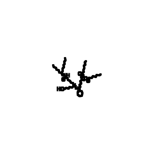 CCCCCCCCC(CCCCCC)CNC(=O)CCCCCN(CCCCCO)CCN(CCCCC(COC(=O)CCCCCCC)COC(=O)CCCCCCC)C1CCCCCC1